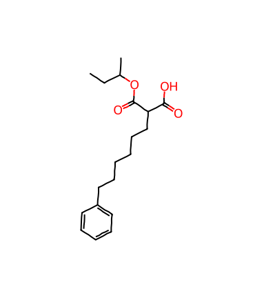 CCC(C)OC(=O)C(CCCCCCc1ccccc1)C(=O)O